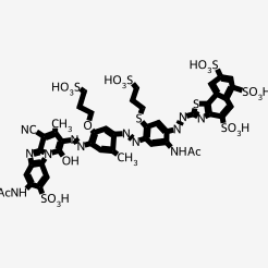 CC(=O)Nc1cc(N=Nc2cc(OCCCS(=O)(=O)O)c(N=Nc3c(C)c(C#N)c4nc5cc(NC(C)=O)c(S(=O)(=O)O)cc5n4c3O)cc2C)c(SCCCS(=O)(=O)O)cc1N=Nc1nc2c(S(=O)(=O)O)cc3c(S(=O)(=O)O)cc(S(=O)(=O)O)cc3c2s1